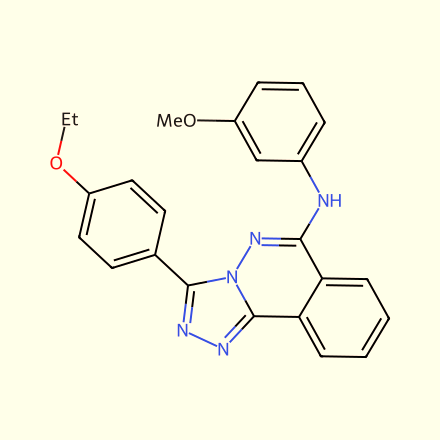 CCOc1ccc(-c2nnc3c4ccccc4c(Nc4cccc(OC)c4)nn23)cc1